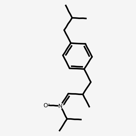 CC(C)Cc1ccc(CC(C)/C=[N+](/[O-])C(C)C)cc1